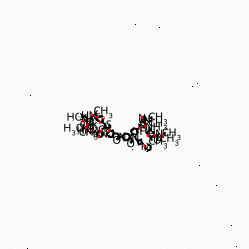 Cc1cc(F)c(Nc2nc(-c3ccc4c(c3)N(C3CC(N5CCCCC5)C3)C(=O)C43CCN(C(=O)Cc4ccc(N5CCN(CC(=O)N[C@H](C(=O)N6C[C@H](O)C[C@H]6C(=O)N[C@@H](C)c6ccc(-c7scnc7C)cc6)C(C)(C)C)CC5)cc4)CC3)cc3ncn(C(C)C)c23)cc1C(=O)NC(C)C